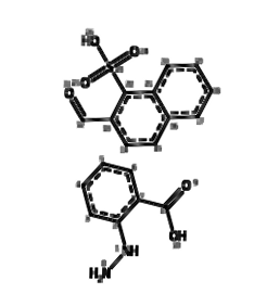 NNc1ccccc1C(=O)O.O=Cc1ccc2ccccc2c1S(=O)(=O)O